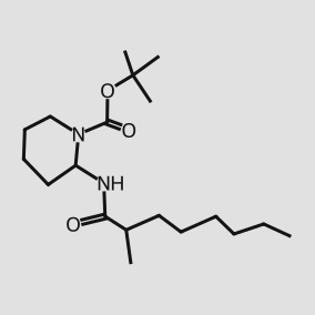 CCCCCCC(C)C(=O)NC1CCCCN1C(=O)OC(C)(C)C